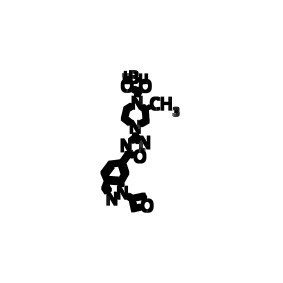 C[C@H]1CN(c2noc(-c3ccc4cnn(C5COC5)c4c3)n2)CCN1C(=O)OC(C)(C)C